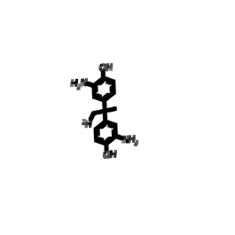 [2H]CC(C)(c1ccc(O)c(N)c1)c1ccc(O)c(N)c1